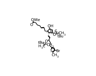 COC(=O)CCCC=CC[C@@H]1[C@@H](C=CC(CCc2cc(Br)c(C)s2)O[Si](C)(C)C(C)(C)C)[C@H](O[Si](C)(C)C(C)(C)C)C[C@@H]1O